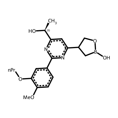 CCCOc1cc(-c2nc(C3COB(O)C3)cc([C@H](C)O)n2)ccc1OC